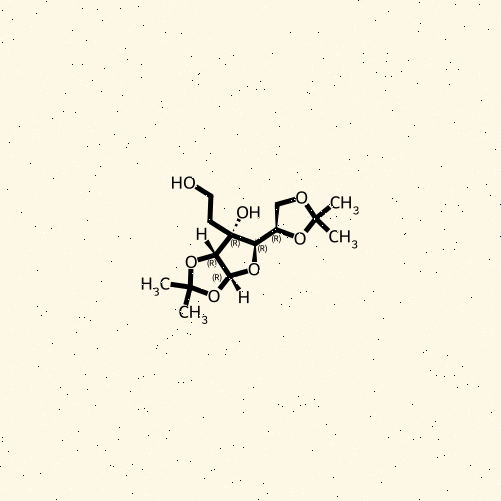 CC1(C)OC[C@H]([C@H]2O[C@@H]3OC(C)(C)O[C@@H]3[C@@]2(O)CCO)O1